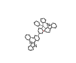 c1ccc(C2(c3ccc(-c4ccc5c(c4)c4ccccc4n4c6ccccc6nc54)cc3)c3ccccc3-n3c4ccccc4c4cccc2c43)cc1